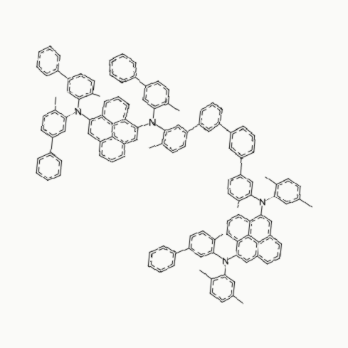 Cc1ccc(C)c(N(c2cc(-c3ccccc3)ccc2C)c2cc3cccc4cc(N(c5cc(C)ccc5C)c5cc(-c6cccc(-c7cccc(-c8ccc(C)c(N(c9cc(-c%10ccccc%10)ccc9C)c9cc%10cccc%11cc(N(c%12cc(-c%13ccccc%13)ccc%12C)c%12cc(-c%13ccccc%13)ccc%12C)c%12cccc9c%12c%11%10)c8)c7)c6)ccc5C)c5cccc2c5c34)c1